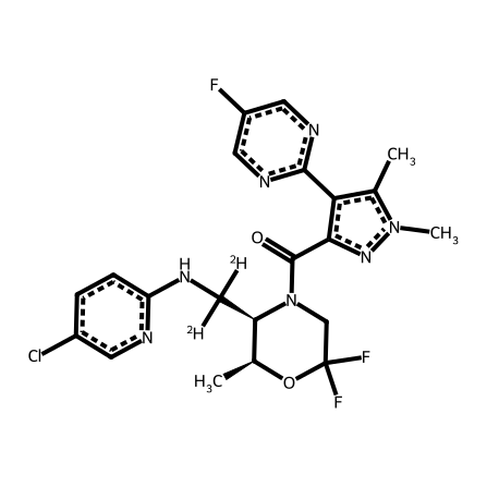 [2H]C([2H])(Nc1ccc(Cl)cn1)[C@@H]1[C@H](C)OC(F)(F)CN1C(=O)c1nn(C)c(C)c1-c1ncc(F)cn1